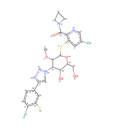 CCOC1C(Sc2cc(Cl)cnc2C(=O)N2CCC2)OC(CO)C(O)C1n1cc(-c2ccc(Cl)c(F)c2)nn1